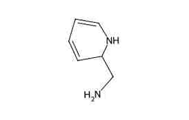 NCC1C=CC=CN1